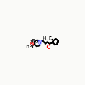 CCCCOC1(CCC)CCN(CCCC(=O)c2ccccc2C)CC1